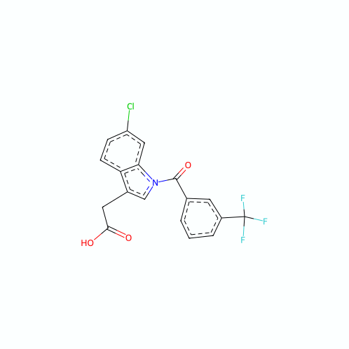 O=C(O)Cc1cn(C(=O)c2cccc(C(F)(F)F)c2)c2cc(Cl)ccc12